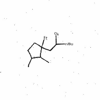 CCCCC(C#N)CC1(CC)CCC(C)C1C